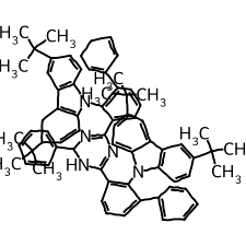 CC(C)(C)c1ccc2c(c1)c1c(n2-c2c(C3=CCCC=C3)cccc2C2=NC(c3ccccc3)NC(c3cccc(-c4ccccc4)c3-n3c4ccc(C(C)(C)C)cc4c4cc(C(C)(C)C)ccc43)=N2)C=CC(C(C)(C)C)C1